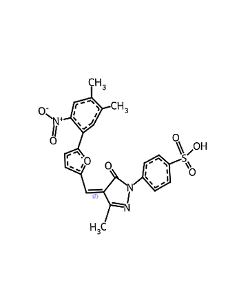 CC1=NN(c2ccc(S(=O)(=O)O)cc2)C(=O)/C1=C\c1ccc(-c2cc(C)c(C)cc2[N+](=O)[O-])o1